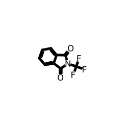 O=C1c2ccccc2C(=O)N1C(F)(F)F